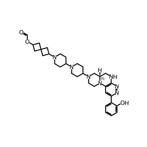 O=COC1CC2(C1)CC(N1CCC(N3CCC(N4CCN5c6cc(-c7ccccc7O)nnc6NC[C@H]5C4)CC3)CC1)C2